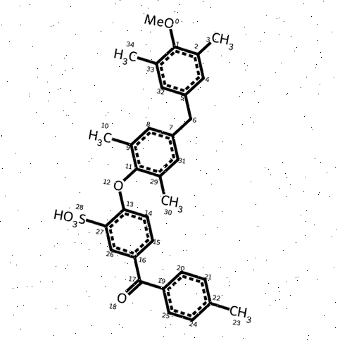 COc1c(C)cc(Cc2cc(C)c(Oc3ccc(C(=O)c4ccc(C)cc4)cc3S(=O)(=O)O)c(C)c2)cc1C